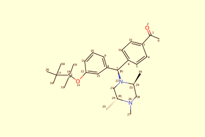 CC(=O)c1ccc([C@H](c2cccc(O[Si](C)(C)C(C)(C)C)c2)N2C[C@@H](C)N(C)C[C@@H]2C)cc1